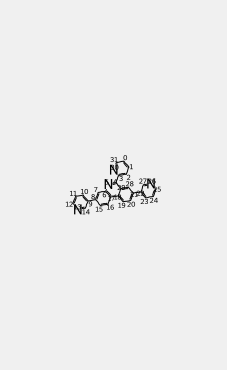 c1ccc(-c2nc3cc(-c4cccnc4)ccc3c3ccc(-c4cccnc4)cc23)nc1